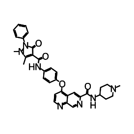 Cc1c(C(=O)Nc2ccc(Oc3ccnc4cnc(C(=O)NC5CCN(C)CC5)cc34)cc2)c(=O)n(-c2ccccc2)n1C